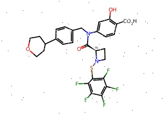 O=C(O)c1ccc(N(Cc2ccc(C3CCOCC3)cc2)C(=O)[C@H]2CCN2Sc2c(F)c(F)c(F)c(F)c2F)cc1O